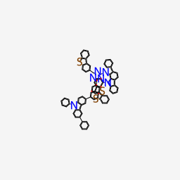 c1ccc(-c2ccc3c(c2)c2cc(-c4ccc5sc6c(-n7c8ccccc8c8ccc9c%10ccccc%10n(-c%10nc(-c%11ccc%12sc%13ccccc%13c%12c%11)nc(-c%11ccc%12sc%13ccccc%13c%12c%11)n%10)c9c87)cccc6c5c4)ccc2n3-c2ccccc2)cc1